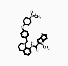 CN(C)C1CCC(Oc2ccc(CN3CCCc4cccc(NC(=O)c5cc6sccc6n5C)c43)cc2)CC1